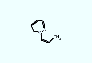 C/C=C\N1CC=CC=N1